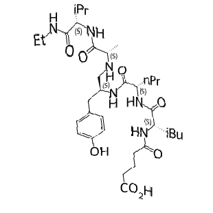 CCC[C@H](NC(=O)[C@@H](NC(=O)CCCC(=O)O)C(C)CC)C(=O)N[C@H](CN[C@@H](C)C(=O)N[C@H](C(=O)NCC)C(C)C)Cc1ccc(O)cc1